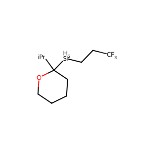 CC(C)C1([SiH2]CCC(F)(F)F)CCCCO1